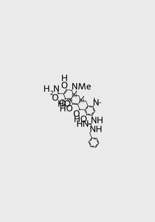 CNC1C(O)=C(C(N)=O)C(=O)[C@@]2(O)C(O)=C3C(=O)c4c(O)c(NC(=N)NCc5ccccc5)cc(N(C)C)c4C[C@@]3(C)C[C@@]12C